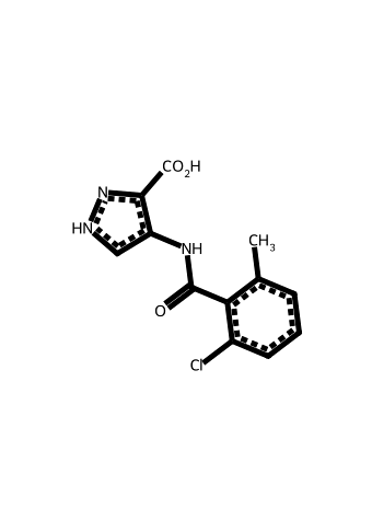 Cc1cccc(Cl)c1C(=O)Nc1c[nH]nc1C(=O)O